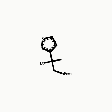 CCCCCCC(C)(CC)c1ccsn1